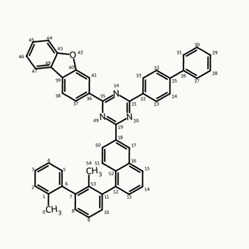 Cc1ccccc1-c1cccc(-c2cccc3cc(-c4nc(-c5ccc(-c6ccccc6)cc5)nc(-c5ccc6c(c5)oc5ccccc56)n4)ccc23)c1C